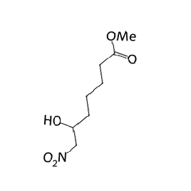 COC(=O)CCCCC(O)C[N+](=O)[O-]